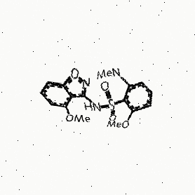 CNc1cccc(OC)c1S(=O)(=O)Nc1noc2cccc(OC)c12